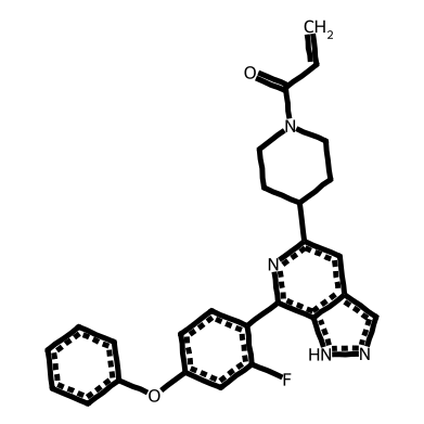 C=CC(=O)N1CCC(c2cc3cn[nH]c3c(-c3ccc(Oc4ccccc4)cc3F)n2)CC1